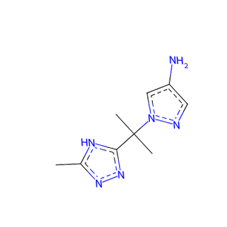 Cc1nnc(C(C)(C)n2cc(N)cn2)[nH]1